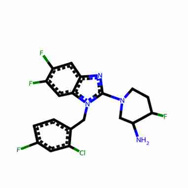 NC1CN(c2nc3cc(F)c(F)cc3n2Cc2ccc(F)cc2Cl)CCC1F